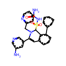 NC(=O)NS(=O)(=O)C1c2c(cccc2-c2ccccc2)C=C(c2cncc(N)c2)N1Cc1ccccn1